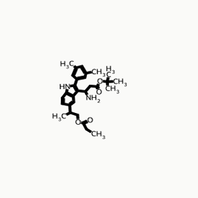 CCC(=O)OCC(C)c1ccc2[nH]c(-c3cc(C)cc(C)c3)c(C(N)CC(=O)OC(C)(C)C)c2c1